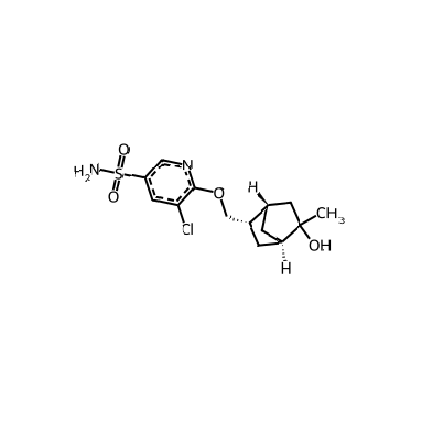 CC1(O)C[C@@H]2C[C@@H]1C[C@@H]2COc1ncc(S(N)(=O)=O)cc1Cl